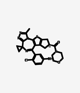 Cc1nnc2n1-c1sc3c(c1C(c1cc(N)ccc1Cl)=NC21CC1)C[C@H](C(=O)N1CCOCC1)C3